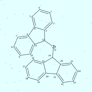 c1ccc2c(c1)-c1ccccc1[CH]2[Zr][CH]1c2ccccc2-c2ccccc21